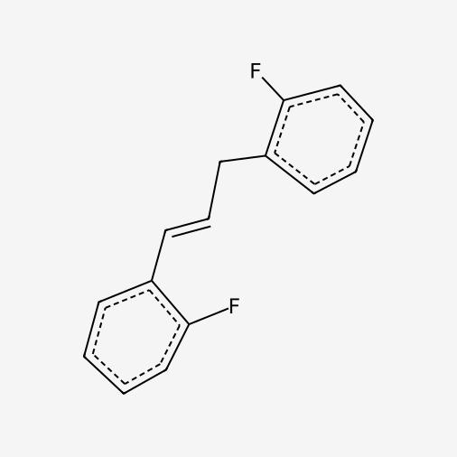 Fc1ccccc1C=CCc1ccccc1F